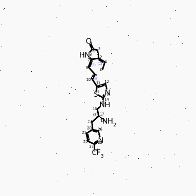 C/C=C1/CC(=O)N/C1=C/C=C/c1cnc(NC[C@@H](N)Cc2ccc(C(F)(F)F)nc2)s1